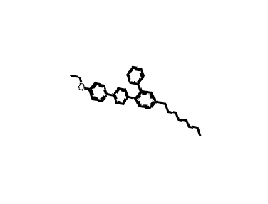 CCCCCCCCc1ccc(-c2ccc(-c3ccc(OCC)cc3)cc2)c(-c2ccccc2)c1